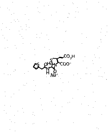 O=C(O)C=CC1=C(C(=O)[O-])N2C(=O)C(NC(=O)Cc3cccs3)[C@@H]2SC1.[Na+]